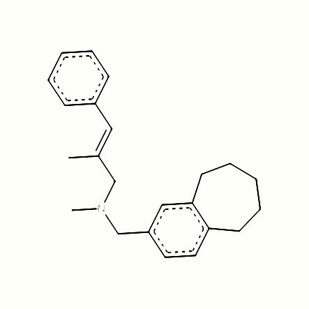 C/C(=C\c1ccccc1)CN(C)Cc1ccc2c(c1)CCCCC2